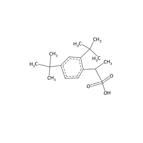 CC(c1ccc(C(C)(C)C)cc1C(C)(C)C)S(=O)(=O)O